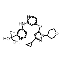 CC(C)(O)c1cc(Nc2cc(Oc3cc(C4CC4)nn3C3CCOCC3)ccn2)ccn1